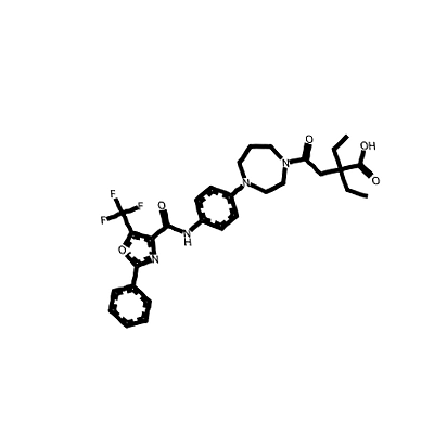 CCC(CC)(CC(=O)N1CCCN(c2ccc(NC(=O)c3nc(-c4ccccc4)oc3C(F)(F)F)cc2)CC1)C(=O)O